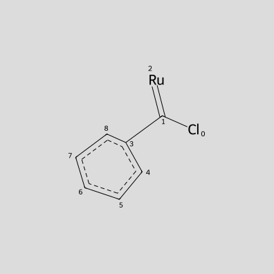 Cl[C](=[Ru])c1ccccc1